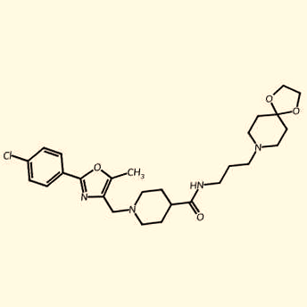 Cc1oc(-c2ccc(Cl)cc2)nc1CN1CCC(C(=O)NCCCN2CCC3(CC2)OCCO3)CC1